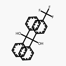 OC(c1ccccc1)(c1ccccc1)C(O)(c1ccccc1)c1ccc(C(F)(F)F)cc1